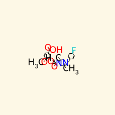 COc1ccc(C(=O)O)cc1OCC(=O)N1CC(C)N(Cc2ccc(F)cc2)CC1C